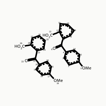 COc1ccc(C(=O)c2ccccc2C(=O)O)cc1.COc1ccc(C(=O)c2ccccc2C(=O)O)cc1